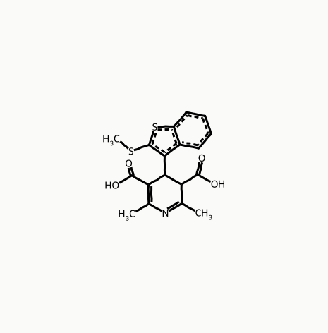 CSc1sc2ccccc2c1C1C(C(=O)O)=C(C)N=C(C)C1C(=O)O